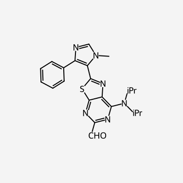 CC(C)N(c1nc(C=O)nc2sc(-c3c(-c4ccccc4)ncn3C)nc12)C(C)C